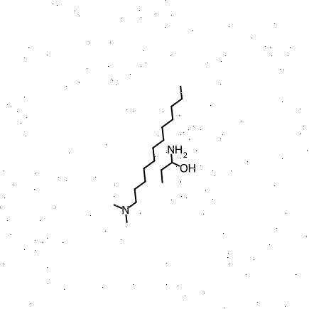 CCC(N)O.CCCCCCCCCCCCN(C)C